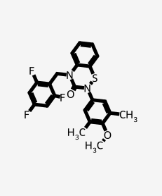 COc1c(C)cc(N2Sc3ccccc3N(Cc3c(F)cc(F)cc3F)C2=O)cc1C